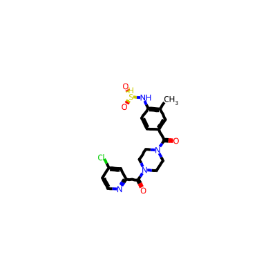 Cc1cc(C(=O)N2CCN(C(=O)c3cc(Cl)ccn3)CC2)ccc1N[SH](=O)=O